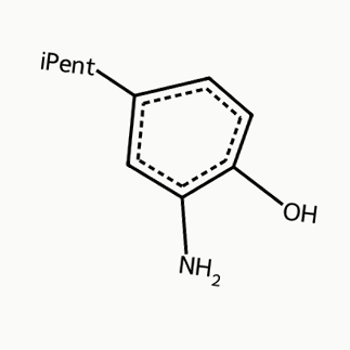 CCCC(C)c1ccc(O)c(N)c1